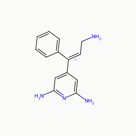 NC/C=C(\c1ccccc1)c1cc(N)nc(N)c1